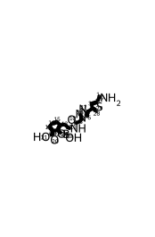 NCc1cc(-c2cn(CC(=O)NC3Cc4cccc(C(=O)O)c4OB3O)nn2)cs1